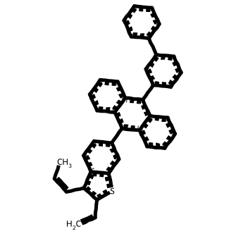 C=Cc1sc2cc(-c3c4ccccc4c(-c4cccc(-c5ccccc5)c4)c4ccccc34)ccc2c1/C=C\C